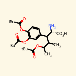 CCC(C)C(=O)Oc1ccc(C(C(C)C(C)OC(=O)C(C)(C)C)[C@H](N)C(=O)O)cc1OC(=O)C(C)CC